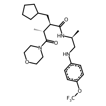 C[C@@H](CNc1ccc(OC(F)(F)F)cc1)NC(=O)[C@H](CC1CCCC1)[C@@H](C)C(=O)N1CCOCC1